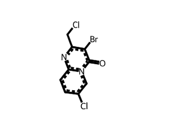 O=c1c(Br)c(CCl)nc2ccc(Cl)cn12